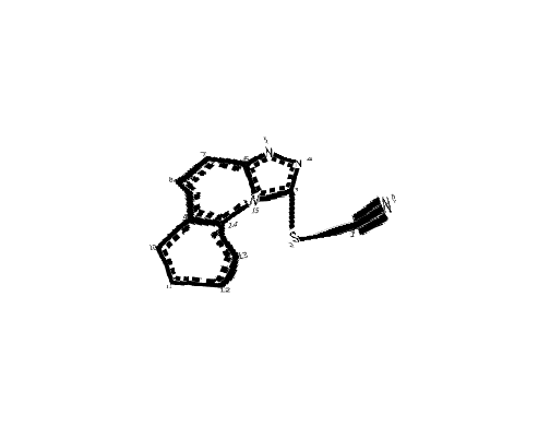 N#CSc1nnc2ccc3ccccc3n12